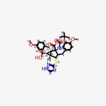 COc1ccc(CC2[C@@H](Sc3nc[nH]n3)[C@@H]3[C@@H](C(=O)O)[C@@]3(Cc3ccc(OC)cc3)[C@]2(NC(=O)OC(C)(C)C)C(=O)O)cc1